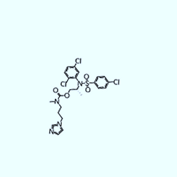 C[C@H](COC(=O)N(C)CCCn1ccnc1)N(c1cc(Cl)ccc1Cl)S(=O)(=O)c1ccc(Cl)cc1